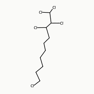 ClCCCCCCCC(Cl)C(Cl)C(Cl)Cl